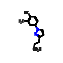 N#Cc1ccc(-n2ccc(CCC(=O)O)n2)cc1C(F)(F)F